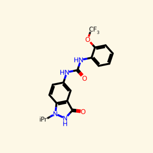 CC(C)n1[nH]c(=O)c2cc(NC(=O)Nc3ccccc3OC(F)(F)F)ccc21